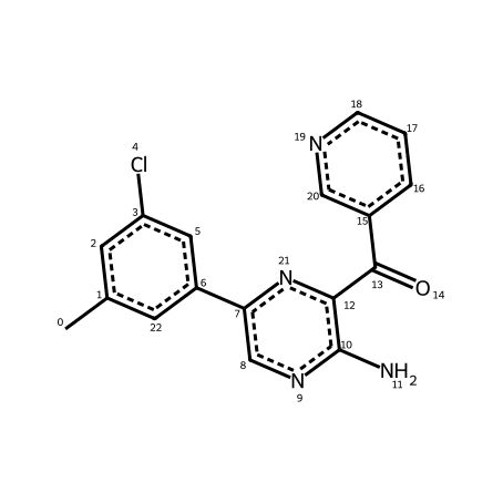 Cc1cc(Cl)cc(-c2cnc(N)c(C(=O)c3cccnc3)n2)c1